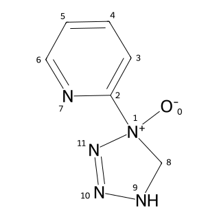 [O-][N+]1(c2ccccn2)CNN=N1